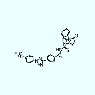 CC(C)c1ccccc1N1C(=O)CS/C1=N\C(=S)NC1CC1c1ccc(-c2ncn(-c3ccc(OC(F)(F)F)cc3)n2)cc1